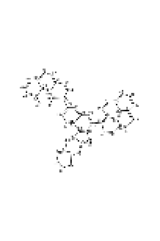 c1ccc2cc3c(cc2c1)oc1c(-c2ccc4ccc5cccc6ccc2c4c56)cc2cc(-c4ccc5ccc6cccc7ccc4c5c67)ccc2c13